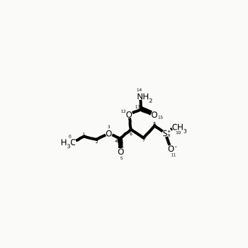 CCCOC(=O)C(CC[S+](C)[O-])OC(N)=O